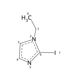 CCn1ccnc1I